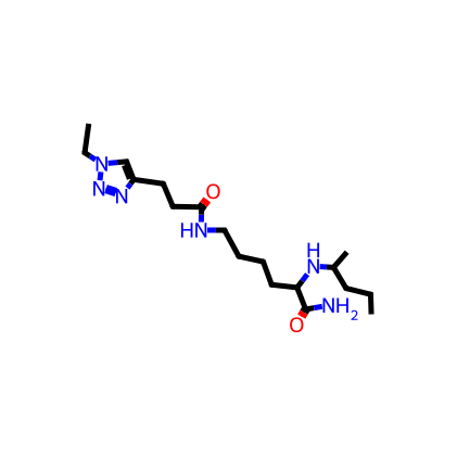 CCCC(C)NC(CCCCNC(=O)CCc1cn(CC)nn1)C(N)=O